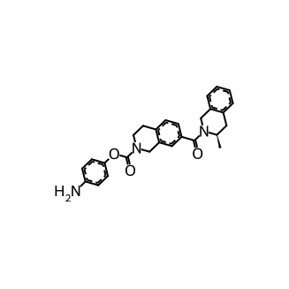 C[C@@H]1Cc2ccccc2CN1C(=O)c1ccc2c(c1)CN(C(=O)Oc1ccc(N)cc1)CC2